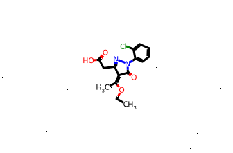 CCOC(C)=C1C(=O)N(c2ccccc2Cl)N=C1CC(=O)O